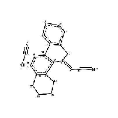 CC#N.N#CC=C1Cc2ccccc2-c2ccc3c(c21)CCCC3